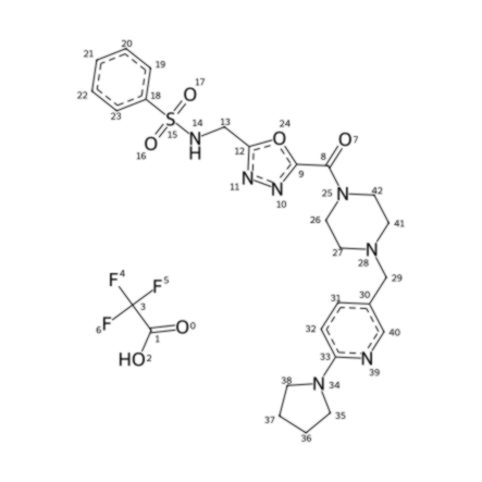 O=C(O)C(F)(F)F.O=C(c1nnc(CNS(=O)(=O)c2ccccc2)o1)N1CCN(Cc2ccc(N3CCCC3)nc2)CC1